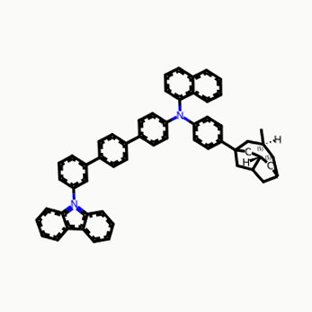 C[C@H]1CC2CC3CC(c4ccc(N(c5ccc(-c6ccc(-c7cccc(-n8c9ccccc9c9ccccc98)c7)cc6)cc5)c5cccc6ccccc56)cc4)(C1)C[C@@H]3C2